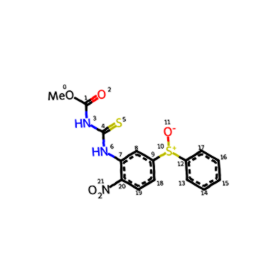 COC(=O)NC(=S)Nc1cc([S+]([O-])c2ccccc2)ccc1[N+](=O)[O-]